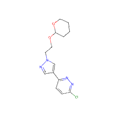 Clc1ccc(-c2cnn(CCOC3CCCCO3)c2)nn1